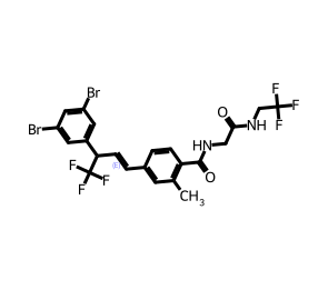 Cc1cc(/C=C/C(c2cc(Br)cc(Br)c2)C(F)(F)F)ccc1C(=O)NCC(=O)NCC(F)(F)F